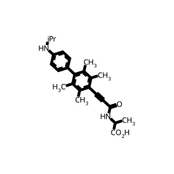 Cc1c(C)c(-c2ccc(NC(C)C)cc2)c(C)c(C)c1C#CC(=O)NC(C)C(=O)O